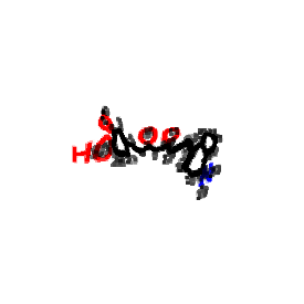 COc1cc(/C=C/C(=O)CC(=O)/C=C/c2ccc(N(C)C)c3ccccc23)ccc1O